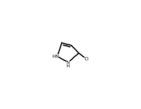 ClC1C=[C]NN1